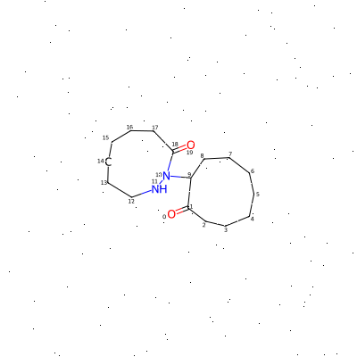 O=C1CCCCCCCC1N1NCCCCCCC1=O